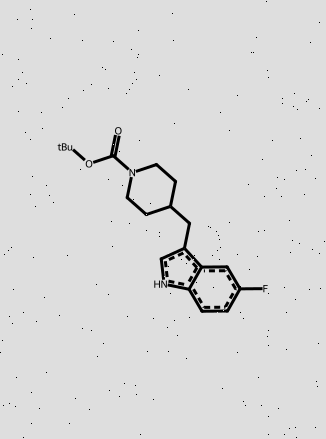 CC(C)(C)OC(=O)N1CCC(Cc2c[nH]c3ccc(F)cc23)CC1